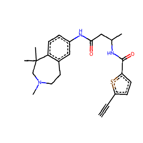 C#Cc1ccc(C(=O)NC(C)CC(=O)Nc2ccc3c(c2)CCN(C)CC3(C)C)s1